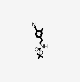 Cc1cc(CCNC(=O)OC(C)(C)C)ccc1C#N